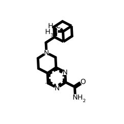 CC1(C)C2CC=C(CN3CCc4[c]nc(C(N)=O)nc4C3)C1C2